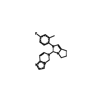 Cc1cc(F)ccc1N1C=C2CCCN2C1N1C=Cc2nccn2C1